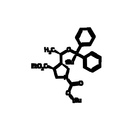 CCOC(=O)[C@@H]1CN(C(=O)OC(C)(C)C)C[C@H]1[C@H](C)O[Si](c1ccccc1)(c1ccccc1)C(C)(C)C